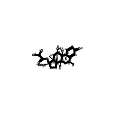 CCOC(=O)[C@@]1(OC(=O)C(Cl)Cl)CC[C@H]2[C@@H]3C[C@H](C)C4=CC(=O)C=C[C@]4(C)[C@H]3[C@@H](O)C[C@@]21C